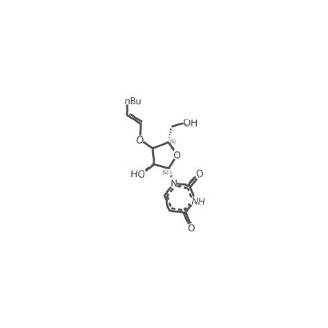 CCCCC=COC1C(O)[C@@H](n2ccc(=O)[nH]c2=O)O[C@H]1CO